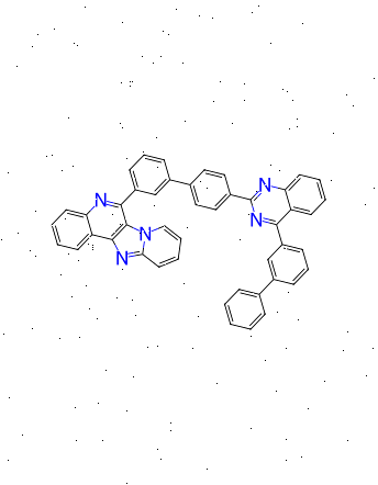 c1ccc(-c2cccc(-c3nc(-c4ccc(-c5cccc(-c6nc7ccccc7c7nc8ccccn8c67)c5)cc4)nc4ccccc34)c2)cc1